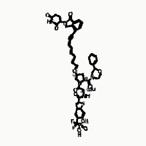 CC(C)(C)[C@H](NC(=O)c1cc2cc(C(F)(F)P(=O)(O)O)ccc2s1)C(=O)N1C[C@@H](OCCCCCCC#Cc2cccc3c2CN(C2CCC(=O)NC2=O)C3=O)C[C@H]1C(=O)N1CCOC(c2ccccc2)C1